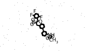 CS(=O)(=O)Nc1cccc(-c2ccc3c(c2)CC([N+](=O)[O-])C(c2cc(F)c(F)cc2F)O3)c1